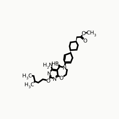 B=C1c2c(N)nc(OCCC(C)CC)nc2OCCN1C1=CCC([C@H]2CC[C@H](CC(=O)OC)CC2)C=C1